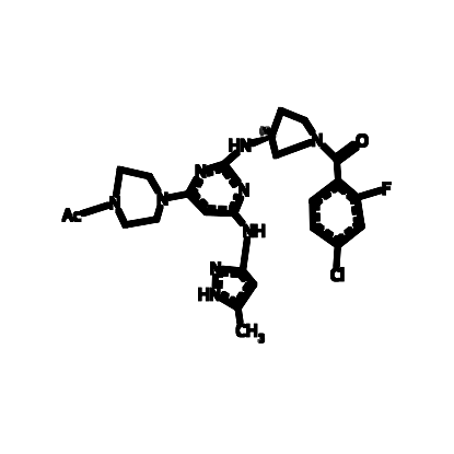 CC(=O)N1CCN(c2cc(Nc3cc(C)[nH]n3)nc(N[C@H]3CCN(C(=O)c4ccc(Cl)cc4F)C3)n2)CC1